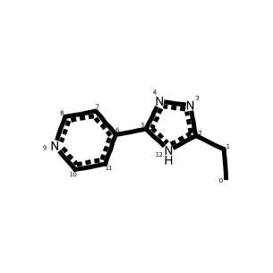 CCc1nnc(-c2ccncc2)[nH]1